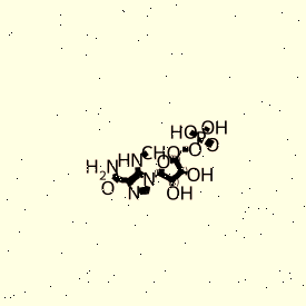 NC(=O)c1ncn([C@@H]2O[C@H](COP(=O)(O)O)[C@@H](O)[C@H]2O)c1NC=O